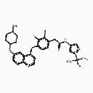 CN1CCC(Oc2ccc3nccc(Oc4ccc(CC(=O)Nc5cnn(C(C)(C)C)c5)c(F)c4F)c3c2)CC1